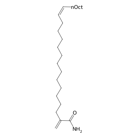 C=C(CCCCCCCCCCCC/C=C\CCCCCCCC)C(N)=O